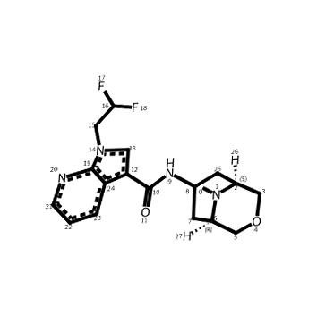 CN1[C@@H]2COC[C@H]1CC(NC(=O)c1cn(CC(F)F)c3ncccc13)C2